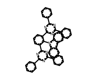 c1ccc(-c2nc(-c3ccccc3)nc(-c3cccc(-c4nc(-c5ccccc5)nc(-c5ccccc5)n4)c3-n3c4ccccc4c4ccccc43)n2)cc1